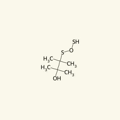 CC(C)(O)C(C)(C)SOS